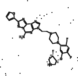 Nc1nc2c(ncn2CCN2CCN(c3cc(O[C@@H]4CNC[C@@H]4F)c(F)cc3F)CC2)c2nc(-c3ccco3)nn12